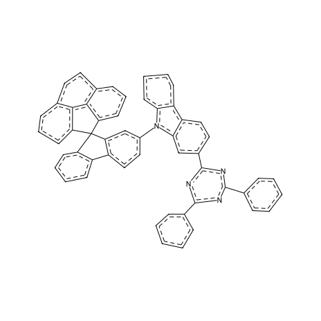 c1ccc(-c2nc(-c3ccccc3)nc(-c3ccc4c5ccccc5n(-c5ccc6c(c5)C5(c7ccccc7-6)c6cccc7ccc8cccc5c8c67)c4c3)n2)cc1